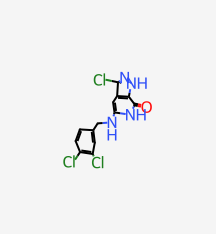 O=c1[nH]c(NCc2ccc(Cl)c(Cl)c2)cc2c(Cl)n[nH]c12